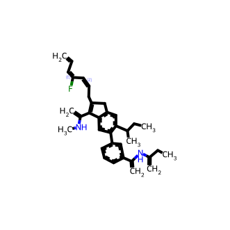 C=C/C=C(F)\C=C/CC1=C(C(=C)NC)c2cc(-c3cccc(C(=C)NC(=C)CC)c3)c(C(C)CC)cc2C1